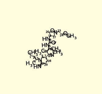 CC/C=C(\C)n1cc(C(=N/C)/C(C)=C(\C)NC(=O)N[C@H]2CON(CCOC)C2)ccc1=N